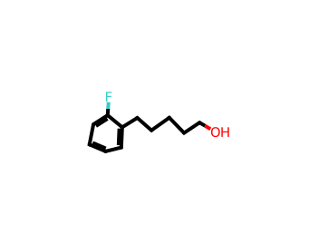 OCCCCCc1ccccc1F